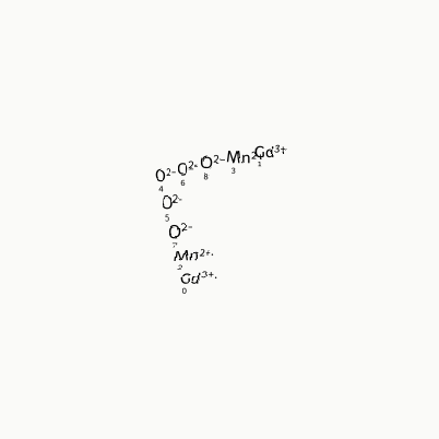 [Gd+3].[Gd+3].[Mn+2].[Mn+2].[O-2].[O-2].[O-2].[O-2].[O-2]